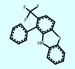 FC(F)(F)c1ccc2c(c1-c1ccccc1)Nc1ccccc1S2